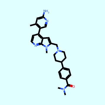 Cc1cc(N)ncc1-c1ccnc2c1cc(CN1CCC(c3ccc(C(=O)N(C)C)cc3)CC1)n2C